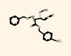 CC(C)(C)O[C@H](C=C=O)[C@H](NOCc1ccccc1)C(=O)OCc1ccc([N+](=O)[O-])cc1